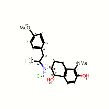 CNc1c(O)ccc2c1CC[C@@H](NC(C)Cc1ccc(OC)cc1)[C@@H]2O.Cl